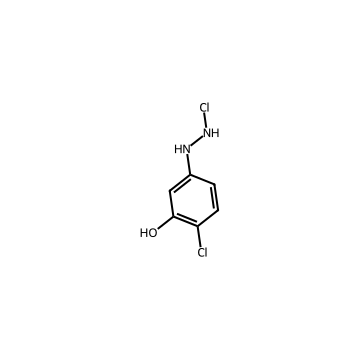 Oc1cc(NNCl)ccc1Cl